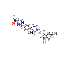 Cc1cc(Oc2nccc(C(N)=O)n2)ccc1N1CCN(CCCc2c[nH]c3ccc(C#N)cc23)CC1